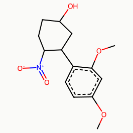 COc1ccc(C2CC(O)CCC2[N+](=O)[O-])c(OC)c1